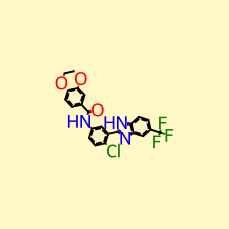 O=C(Nc1ccc(Cl)c(-c2nc3cc(C(F)(F)F)ccc3[nH]2)c1)c1ccc2c(c1)OCCO2